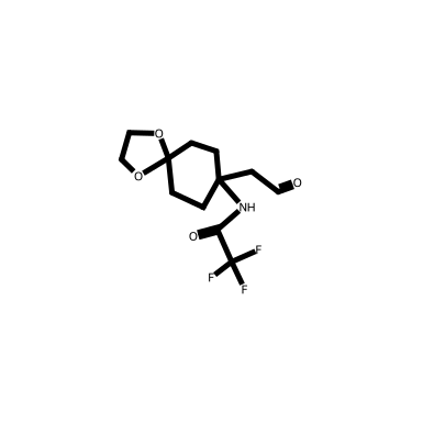 O=CCC1(NC(=O)C(F)(F)F)CCC2(CC1)OCCO2